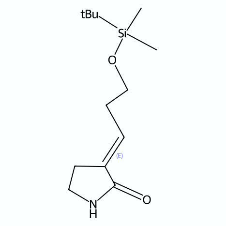 CC(C)(C)[Si](C)(C)OCC/C=C1\CCNC1=O